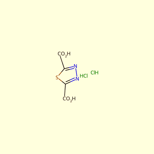 Cl.Cl.O=C(O)c1nnc(C(=O)O)s1